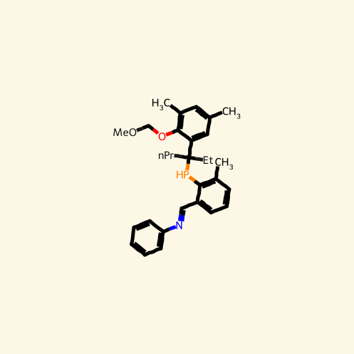 CCCC(CC)(Pc1c(C)cccc1/C=N/c1ccccc1)c1cc(C)cc(C)c1OCOC